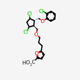 O=C(O)c1ccc(CCCOC[C@H]2C(Cl)CC(Cl)[C@@H]2COc2ccccc2Cl)o1